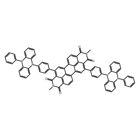 CN1C(=O)c2ccc3c4cc(-c5ccc(N6c7ccccc7N(c7ccccc7)c7ccccc76)cc5)c5c6c(ccc(c7cc(-c8ccc(N9c%10ccccc%10N(c%10ccccc%10)c%10ccccc%109)cc8)c(c2c37)C1=O)c64)C(=O)N(C)C5=O